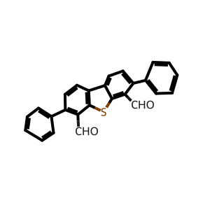 O=Cc1c(-c2ccccc2)ccc2c1sc1c(C=O)c(-c3ccccc3)ccc12